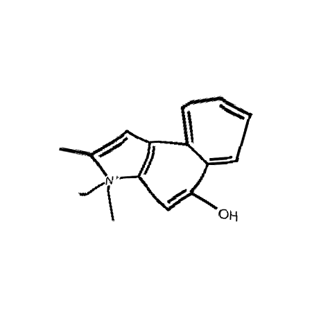 CC1=Cc2c(cc(O)c3ccccc23)[N+]1(C)C